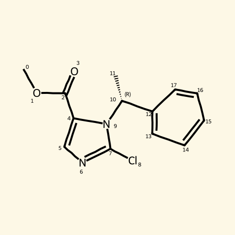 COC(=O)c1cnc(Cl)n1[C@H](C)c1ccccc1